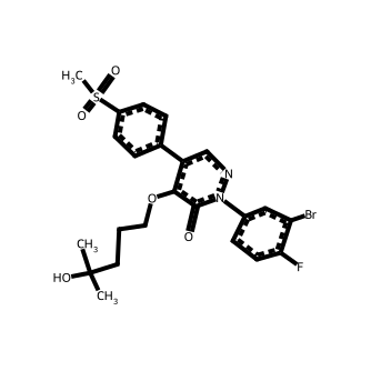 CC(C)(O)CCCOc1c(-c2ccc(S(C)(=O)=O)cc2)cnn(-c2ccc(F)c(Br)c2)c1=O